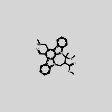 CNCc1c(C=O)c2c3ccccc3n3c2c2c1c1ccccc1n2C(C)(OC)C(C(=O)OC)C3